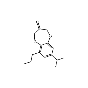 CCCc1cc(C(C)C)cc2c1OCC(=O)CO2